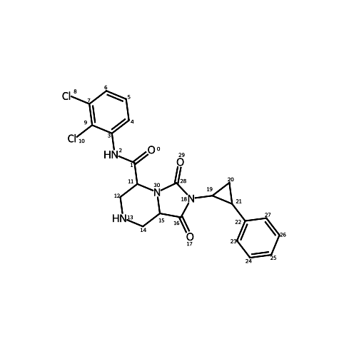 O=C(Nc1cccc(Cl)c1Cl)C1CNCC2C(=O)N(C3CC3c3ccccc3)C(=O)N12